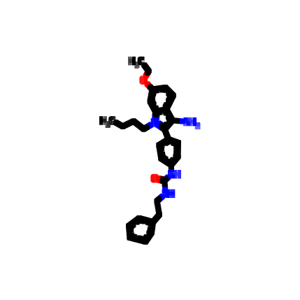 CCCCn1c(-c2ccc(NC(=O)NCCc3ccccc3)cc2)c(N)c2ccc(OCC)cc21